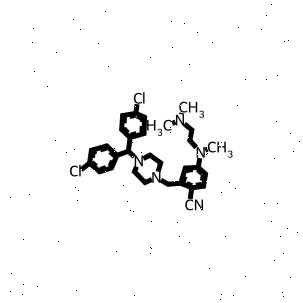 CN(C)CCN(C)c1ccc(C#N)c(CN2CCN(C(c3ccc(Cl)cc3)c3ccc(Cl)cc3)CC2)c1